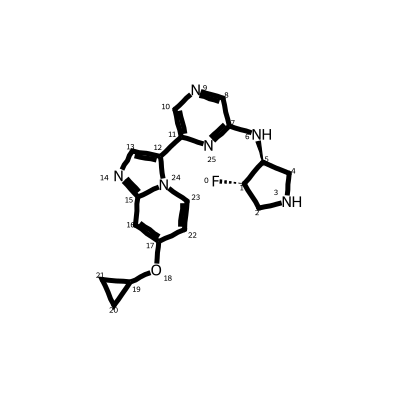 F[C@H]1CNC[C@@H]1Nc1cncc(-c2cnc3cc(OC4CC4)ccn23)n1